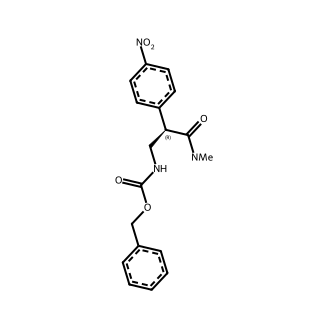 CNC(=O)[C@@H](CNC(=O)OCc1ccccc1)c1ccc([N+](=O)[O-])cc1